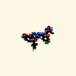 Cc1nonc1C(=O)N[C@H](c1cn2ncc([C@H]3C[C@@](C)(O)CCN3C(=O)C34CC(F)(C3)C4)nc2n1)C1CCC(F)(F)CC1